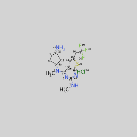 CNc1nc(N(C)[C@@H]2CC[C@H](N)C2)c2cc(CC(F)(F)F)sc2n1.Cl